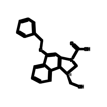 O=C(O)N1C[C@@H](CO)c2c1cc(OCc1ccccc1)c1ccccc21